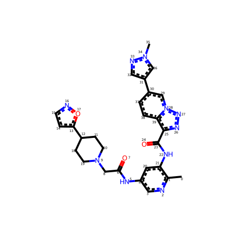 Cc1ncc(NC(=O)CN2CCC(c3ccno3)CC2)cc1NC(=O)c1nnn2cc(-c3cnn(C)c3)ccc12